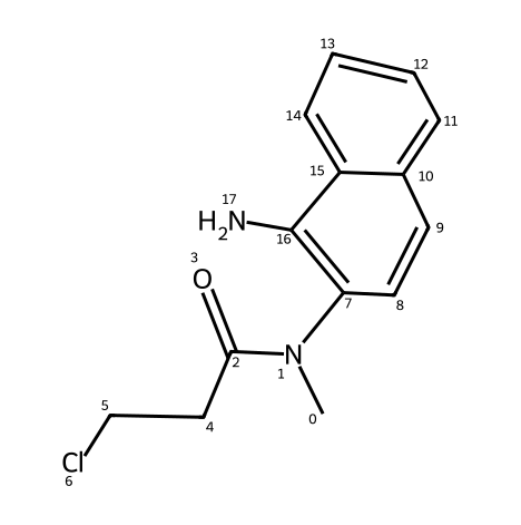 CN(C(=O)CCCl)c1ccc2ccccc2c1N